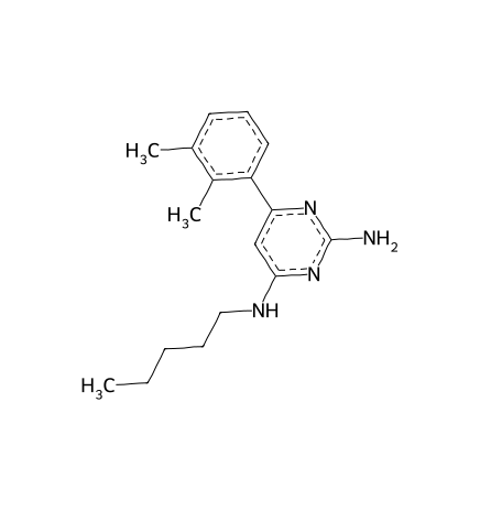 CCCCCNc1cc(-c2cccc(C)c2C)nc(N)n1